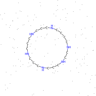 C1CCNCCNCCCNCCCNCCCNCCCNC1